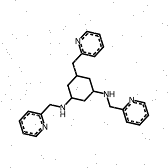 c1ccc(CNC2CC(Cc3ccccn3)CC(NCc3ccccn3)C2)nc1